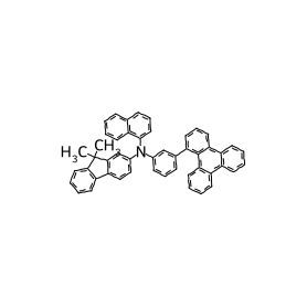 CC1(C)c2ccccc2-c2ccc(N(c3cccc(-c4cccc5c6ccccc6c6ccccc6c45)c3)c3cccc4ccccc34)cc21